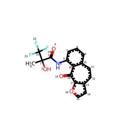 CC(O)(C(=O)Nc1cccc2ccc3ccoc3c(=O)c12)C(F)(F)F